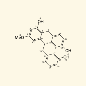 COc1cc(O)c(Cc2ccc(O)cc2)c(CCc2cccc(O)c2)c1